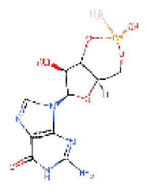 B[PH]1(O)OC[C@H]2O[C@@H](n3cnc4c(=O)[nH]c(N)nc43)[C@@H](O)C2O1